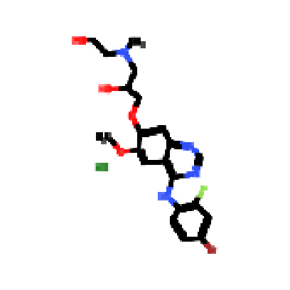 COc1cc2c(Nc3ccc(Br)cc3F)ncnc2cc1OCC(O)CN(C)CCO.Cl